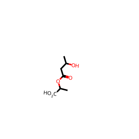 CC(O)CC(=O)OC(C)C(=O)O